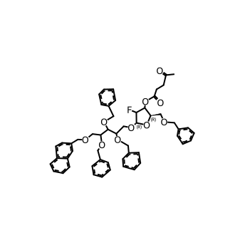 CC(=O)CCC(=O)OC1C(F)[C@H](OCC(OCc2ccccc2)C(OCc2ccccc2)C(COCc2ccc3ccccc3c2)OCc2ccccc2)O[C@@H]1COCc1ccccc1